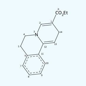 CCOC(=O)C1=CN2CCc3ccccc3C2=CC1